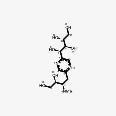 CN[C@H](Cc1cnc([C@@H](O)[C@H](O)[C@H](O)CO)cn1)[C@H](O)CO